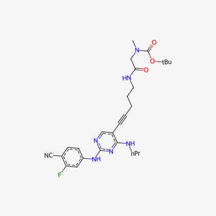 CCCNc1nc(Nc2ccc(C#N)c(F)c2)ncc1C#CCCCNC(=O)CN(C)C(=O)OC(C)(C)C